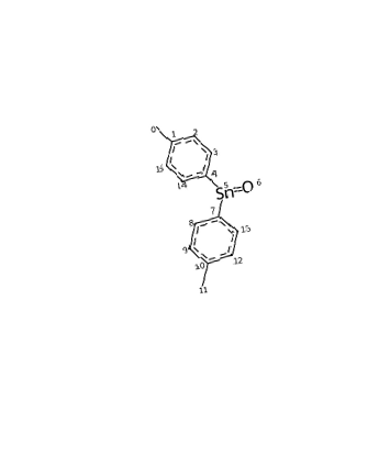 Cc1cc[c]([Sn](=[O])[c]2ccc(C)cc2)cc1